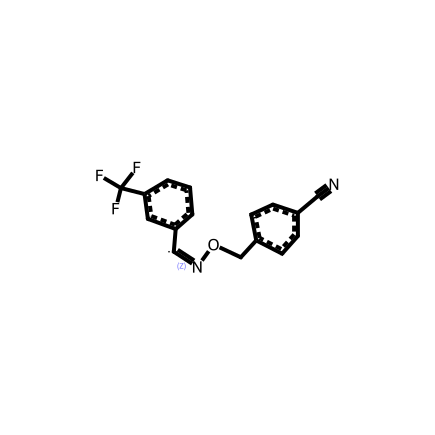 N#Cc1ccc(CO/N=[C]\c2cccc(C(F)(F)F)c2)cc1